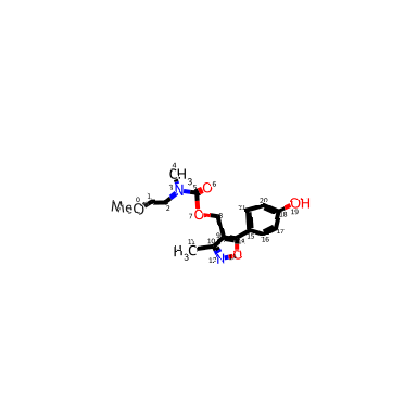 COCCN(C)C(=O)OCc1c(C)noc1-c1ccc(O)cc1